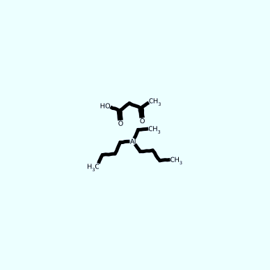 CC(=O)CC(=O)O.CCC[CH2][Al]([CH2]C)[CH2]CCC